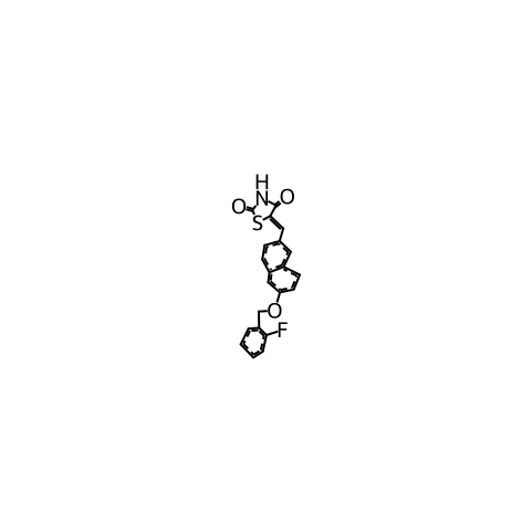 O=C1NC(=O)/C(=C/c2ccc3cc(OCc4ccccc4F)ccc3c2)S1